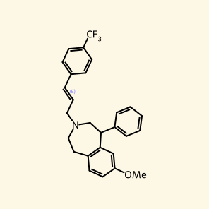 COc1ccc2c(c1)C(c1ccccc1)CN(C/C=C/c1ccc(C(F)(F)F)cc1)CC2